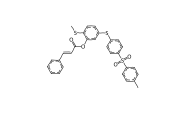 CSc1ccc(Sc2ccc(S(=O)(=O)c3ccc(C)cc3)cc2)cc1OC(=O)/C=C/c1ccccc1